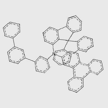 c1ccc(-c2cccc(-c3cccc(N(c4ccc5c6ccccc6c6ccccc6c5c4)c4cccc5c4C4(c6ccccc6-c6ccccc64)c4ccccc4-5)c3)c2)cc1